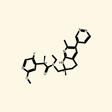 CCN(C[C@@]1(C)CCc2cc(-c3ccnnc3)c(C)nc2N1)C(=O)[C@H](C)c1cc(OC)ncc1F